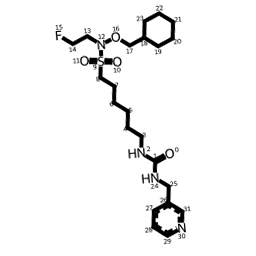 O=C(NCCCCCCS(=O)(=O)N(CCF)OCC1CCCCC1)NCc1cccnc1